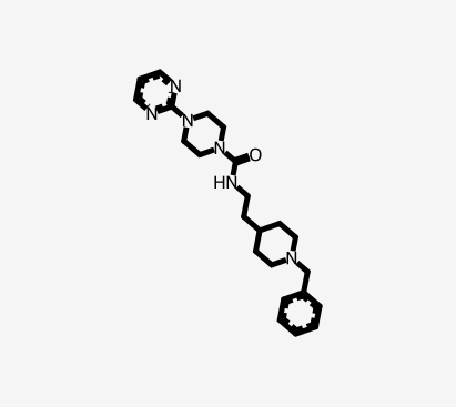 O=C(NCCC1CCN(Cc2ccccc2)CC1)N1CCN(c2ncccn2)CC1